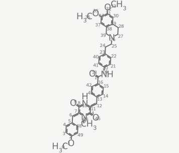 COc1ccc(/C=c2/c(=O)[nH]/c(=C\c3ccc(C(=O)Nc4ccc(CCN5CCc6cc(OC)c(OC)cc6C5)cc4)cc3)c(=O)n2C)cc1